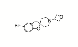 Brc1ccc2c(c1)CC1(CCN(C3COC3)CC1)O2